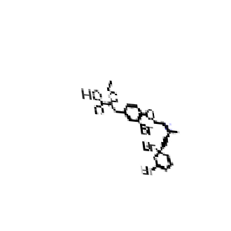 CCO[C@@H](Cc1ccc(OC/C=C(/C)C#CC2(Br)C=CC=C(Br)C2)c(Br)c1)C(=O)O